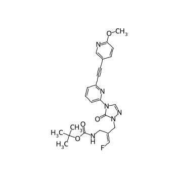 COc1ccc(C#Cc2cccc(-n3cnn(C/C(=C/F)CNC(=O)OC(C)(C)C)c3=O)n2)cn1